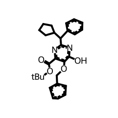 CC(C)(C)OC(=O)c1nc(C(c2ccccc2)C2CCCC2)nc(O)c1OCc1ccccc1